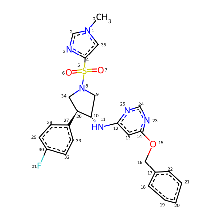 Cn1cnc(S(=O)(=O)N2C[C@H](Nc3cc(OCc4ccccc4)ncn3)[C@@H](c3ccc(F)cc3)C2)c1